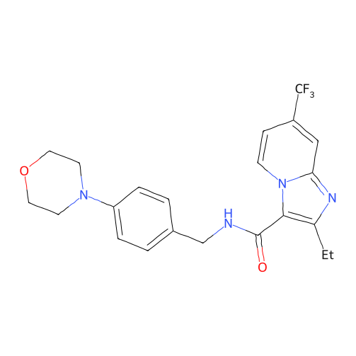 CCc1nc2cc(C(F)(F)F)ccn2c1C(=O)NCc1ccc(N2CCOCC2)cc1